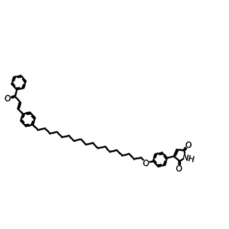 O=C1C=C(c2ccc(OCCCCCCCCCCCCCCCCCCc3ccc(C=CC(=O)c4ccccc4)cc3)cc2)C(=O)N1